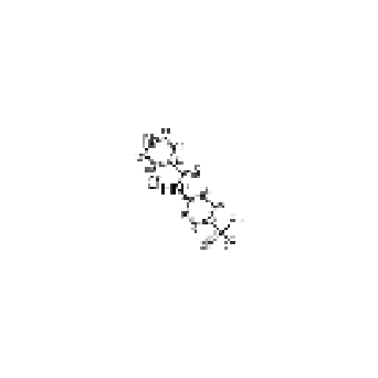 FC(F)(F)c1ccc(NC(=S)c2ccncc2Cl)cc1